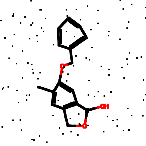 Cc1cc2c(cc1OCc1ccccc1)B(O)OC2